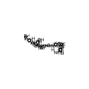 Cc1ncsc1-c1ccc(C(C)NC(=O)C2CC(O)CN2C(=O)C(NC(=O)COCCOCCNc2ccc(CN3CC(C)(C)C(Oc4ccc(C#N)c(Cl)c4)C3=O)cc2)C(C)(C)C)cc1